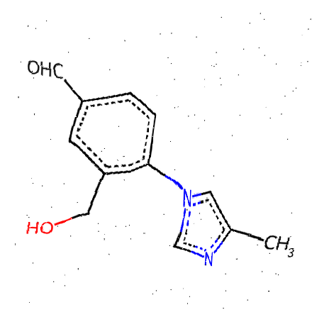 Cc1cn(-c2ccc(C=O)cc2CO)cn1